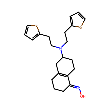 ON=C1CCCC2=C1CCC(N(CCc1cccs1)CCc1cccs1)C2